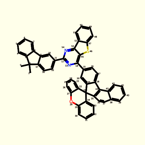 CC1(C)c2ccccc2-c2cc(-c3nc(-c4ccc5c(c4)C4(c6ccccc6Oc6ccccc64)c4ccc6ccccc6c4-5)c4sc5ccccc5c4n3)ccc21